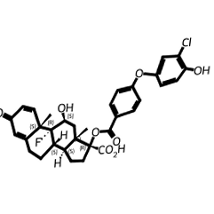 C[C@]12C=CC(=O)C=C1CC[C@H]1[C@@H]3CC[C@](OC(=O)c4ccc(Oc5ccc(O)c(Cl)c5)cc4)(C(=O)O)[C@@]3(C)C[C@H](O)[C@@]12F